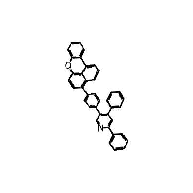 c1ccc(-c2cc(-c3ccccc3)c(-c3ccc(-c4ccc5c6c(cccc46)-c4ccccc4O5)cc3)cn2)cc1